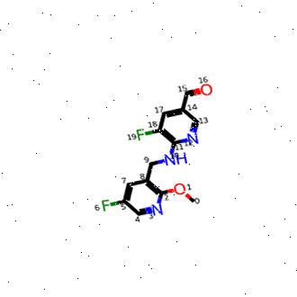 COc1ncc(F)cc1CNc1ncc(C=O)cc1F